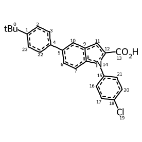 CC(C)(C)c1ccc(-c2ccc3c(c2)cc(C(=O)O)n3-c2ccc(Cl)cc2)cc1